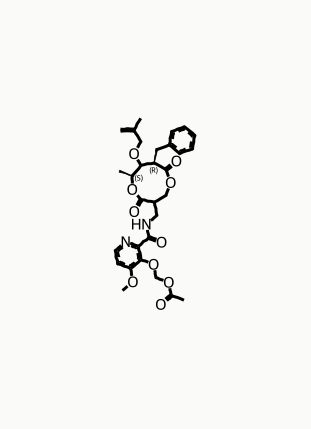 C=C(C)COC1[C@H](C)OC(=O)C(CNC(=O)c2nccc(OC)c2OCOC(C)=O)COC(=O)[C@@H]1Cc1ccccc1